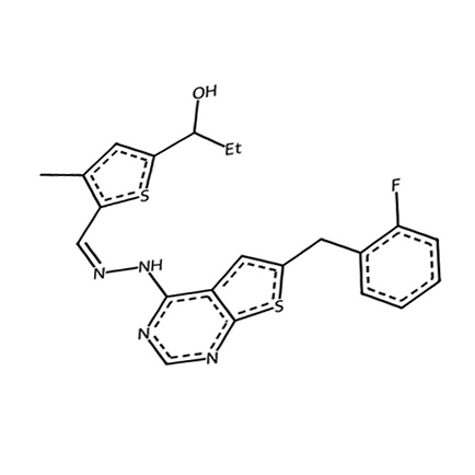 CCC(O)c1cc(C)c(/C=N\Nc2ncnc3sc(Cc4ccccc4F)cc23)s1